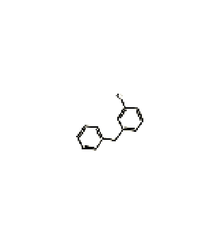 [O]c1cccc(Cc2ccccc2)c1